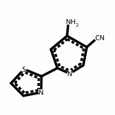 N#Cc1cnc(-c2nccs2)cc1N